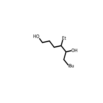 CCC(C)CC(O)C(CC)CCCO